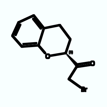 O=C(CBr)[C@H]1CCc2ccccc2O1